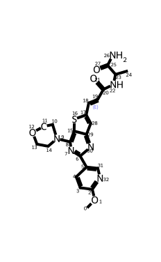 COc1ccc(-c2nc(N3CCOCC3)c3sc(/C=C/C(=O)NC(C)C(N)=O)cc3n2)cn1